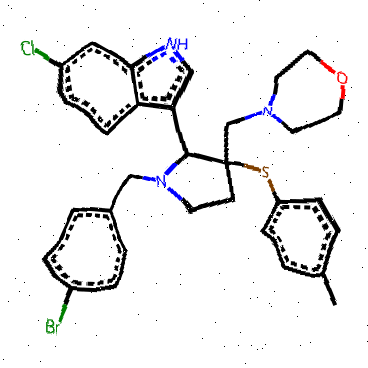 Cc1ccc(SC2(CN3CCOCC3)CCN(Cc3ccc(Br)cc3)C2c2c[nH]c3cc(Cl)ccc23)cc1